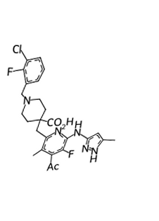 CC(=O)c1c(C)c(CC2(C(=O)O)CCN(Cc3cccc(Cl)c3F)CC2)nc(Nc2cc(C)[nH]n2)c1F